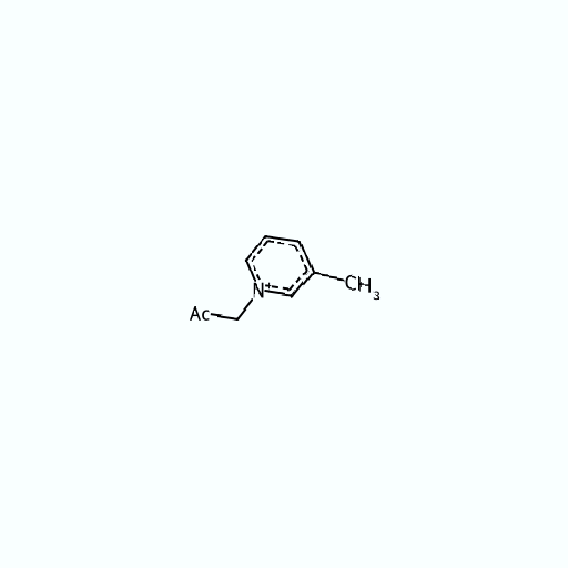 CC(=O)C[n+]1cccc(C)c1